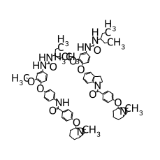 CCC(CC)NC(=O)Nc1ccc(Oc2ccc(NC(=O)c3ccc(OC45CCCC(CC4)N5C)cc3)cc2)c(OC)c1.CCC(CC)NC(=O)Nc1ccc(Oc2ccc3c(c2)CCN3C(=O)c2ccc(OC34CCCC(CC3)N4C)cc2)c(OC)c1